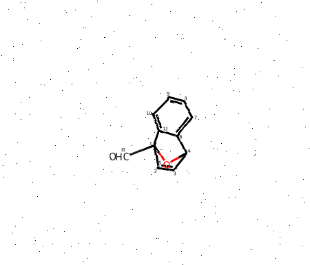 O=CC12C=CC(O1)c1ccccc12